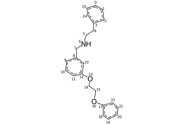 c1ccc(CCNCc2cccc(OCCOc3ccccc3)c2)cc1